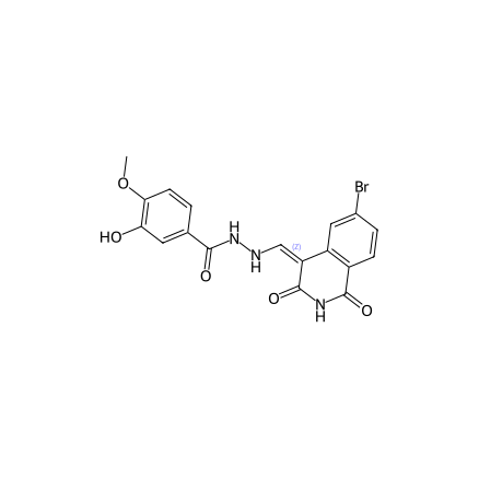 COc1ccc(C(=O)NN/C=C2\C(=O)NC(=O)c3ccc(Br)cc32)cc1O